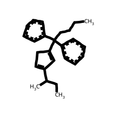 CCCCC(C1=CC(C(C)CC)=CC1)(c1ccccc1)c1ccccc1